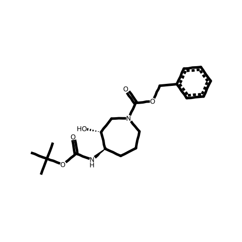 CC(C)(C)OC(=O)N[C@@H]1CCCN(C(=O)OCc2ccccc2)C[C@H]1O